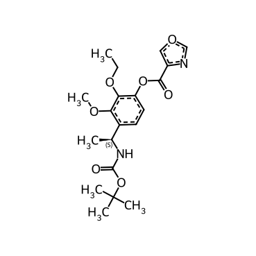 CCOc1c(OC(=O)c2cocn2)ccc([C@H](C)NC(=O)OC(C)(C)C)c1OC